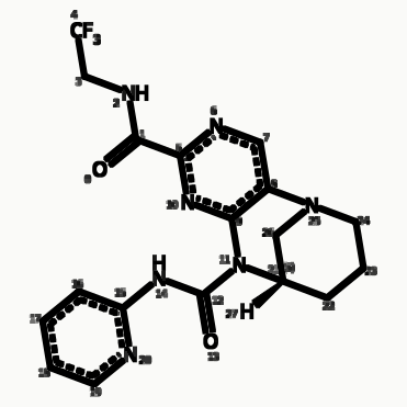 O=C(NCC(F)(F)F)c1ncc2c(n1)N(C(=O)Nc1ccccn1)[C@H]1CCCN2C1